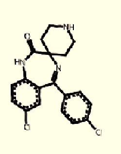 O=C1Nc2ccc(Cl)cc2C(c2ccc(Cl)cc2)=NC12CCNCC2